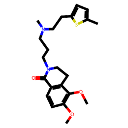 COc1ccc2c(c1OC)CCN(CCCN(C)CCc1ccc(C)s1)C2=O